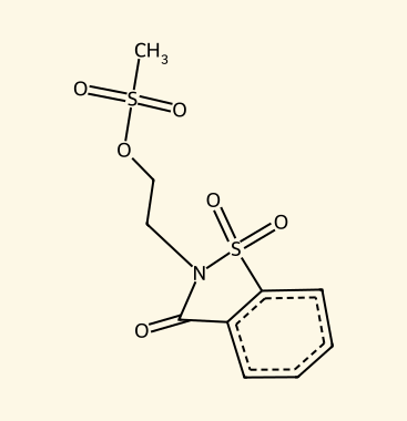 CS(=O)(=O)OCCN1C(=O)c2ccccc2S1(=O)=O